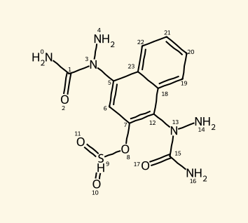 NC(=O)N(N)c1cc(O[SH](=O)=O)c(N(N)C(N)=O)c2ccccc12